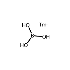 OB(O)O.[Tm]